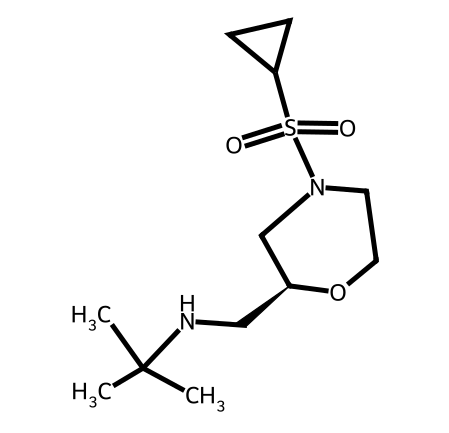 CC(C)(C)NC[C@H]1CN(S(=O)(=O)C2CC2)CCO1